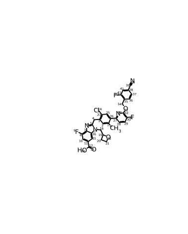 Cc1cc(Cc2nc3c(F)cc(C(=O)O)cc3n2CC2CCO2)c(Cl)cc1-c1ccc(F)c(OCc2ccc(C#N)cc2F)n1